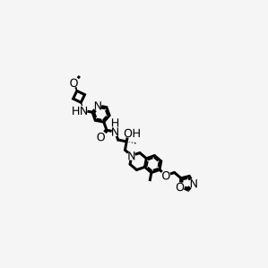 CO[C@H]1C[C@H](Nc2cc(C(=O)NC[C@@](C)(O)CN3CCc4c(ccc(OCc5cnco5)c4C)C3)ccn2)C1